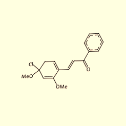 COC1=CC(Cl)(OC)CC=C1C=CC(=O)c1ccccc1